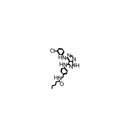 CCCCC(=O)NCc1ccc(Nc2n[nH]c3ncnc(Nc4cccc(Cl)c4)c23)cc1